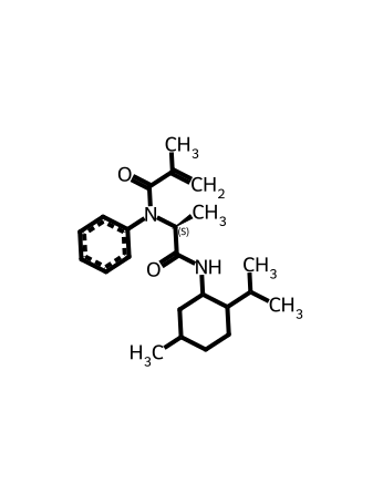 C=C(C)C(=O)N(c1ccccc1)[C@@H](C)C(=O)NC1CC(C)CCC1C(C)C